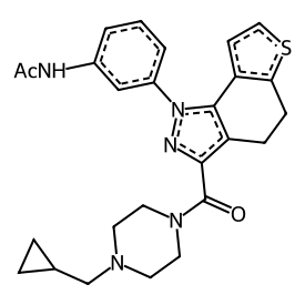 CC(=O)Nc1cccc(-n2nc(C(=O)N3CCN(CC4CC4)CC3)c3c2-c2ccsc2CC3)c1